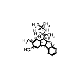 CC1=CC2C3c4ccccc4S[C@@H]3C([Si](C)(C)NC(C)(C)C)[C@@H]2C=C1C